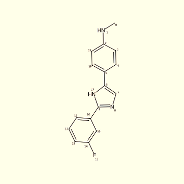 CNc1ccc(-c2cnc(-c3cccc(F)c3)[nH]2)cc1